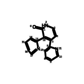 O=c1[nH]ccc(-c2ccccn2)c1-c1ccccn1